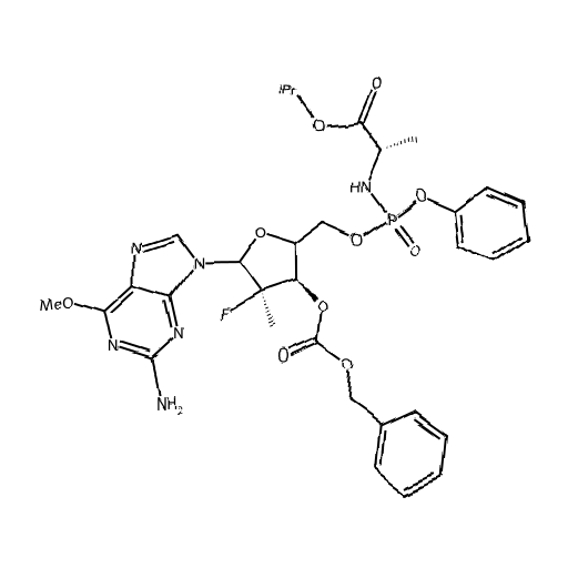 COc1nc(N)nc2c1ncn2C1OC(COP(=O)(N[C@@H](C)C(=O)OC(C)C)Oc2ccccc2)[C@@H](OC(=O)OCc2ccccc2)[C@@]1(C)F